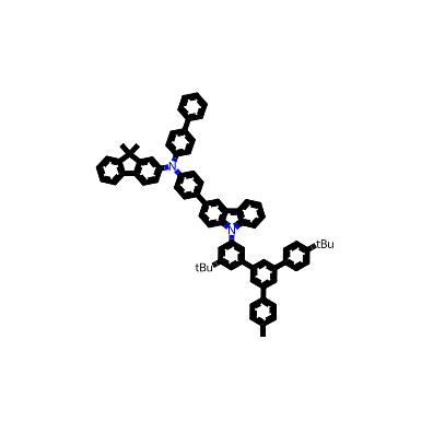 Cc1ccc(-c2cc(-c3ccc(C(C)(C)C)cc3)cc(-c3cc(-n4c5ccccc5c5cc(-c6ccc(N(c7ccc(-c8ccccc8)cc7)c7ccc8c(c7)C(C)(C)c7ccccc7-8)cc6)ccc54)cc(C(C)(C)C)c3)c2)cc1